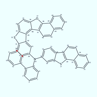 c1ccc(-c2ccccc2N(c2ccc3c(c2)sc2c4ccccc4ccc32)c2ccc3sc4ccc5oc6c7ccccc7ccc6c5c4c3c2)cc1